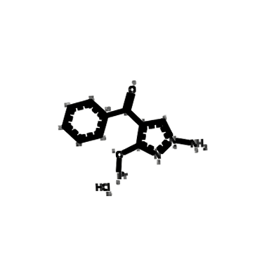 CC(C)Oc1nn(N)cc1C(=O)c1ccccc1.Cl